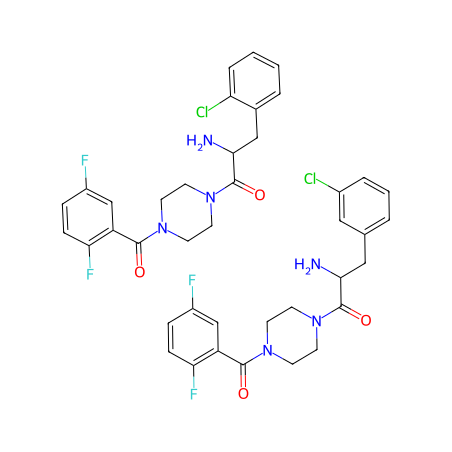 NC(Cc1cccc(Cl)c1)C(=O)N1CCN(C(=O)c2cc(F)ccc2F)CC1.NC(Cc1ccccc1Cl)C(=O)N1CCN(C(=O)c2cc(F)ccc2F)CC1